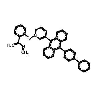 C=NC(=C)c1ccccc1SN1C=C(c2c3ccccc3c(-c3ccc(-c4ccccc4)cc3)c3ccccc23)C=CC1